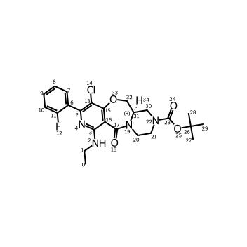 CCNc1nc(-c2ccccc2F)c(Cl)c2c1C(=O)N1CCN(C(=O)OC(C)(C)C)C[C@@H]1CO2